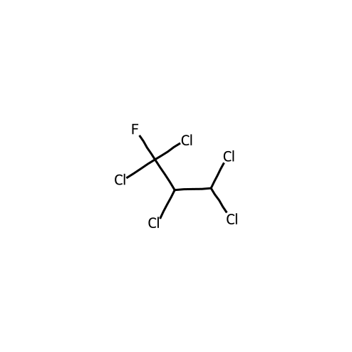 FC(Cl)(Cl)C(Cl)C(Cl)Cl